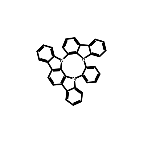 c1ccc2c(c1)c1cccc3c1n2c1ccccc1n1c2ccccc2c2ccc4c5ccccc5n3c4c21